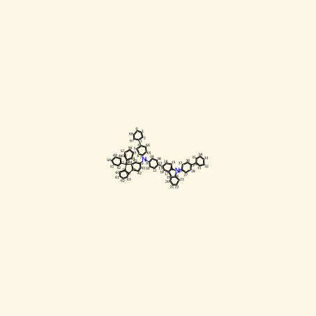 c1ccc(-c2ccc(N(c3ccc(-c4ccc5c(c4)c4ccccc4n5-c4ccc(-c5ccccc5)cc4)cc3)c3ccc4c(c3)C(c3ccccc3)(c3ccccc3)c3ccccc3-4)cc2)cc1